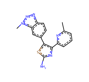 Cc1cccc(-c2nc(N)sc2-c2ccc3nnn(C)c3c2)n1